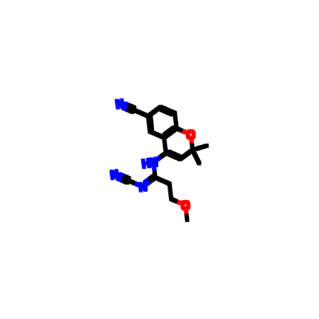 COCC/C(=N/C#N)NC1=CC(C)(C)Oc2ccc(C#N)cc21